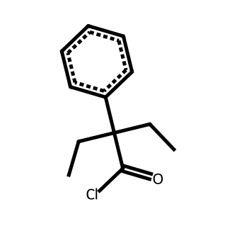 CCC(CC)(C(=O)Cl)c1ccccc1